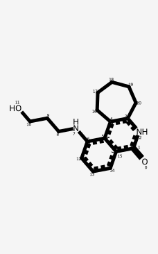 O=c1[nH]c2c(c3c(NCCCO)cccc13)CCCCC2